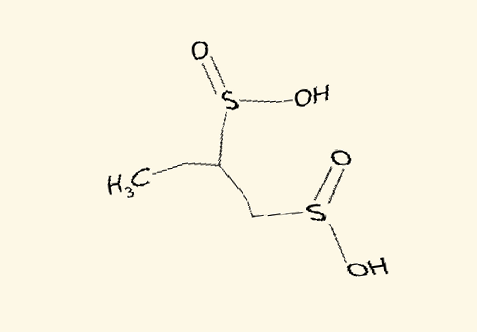 CC(CS(=O)O)S(=O)O